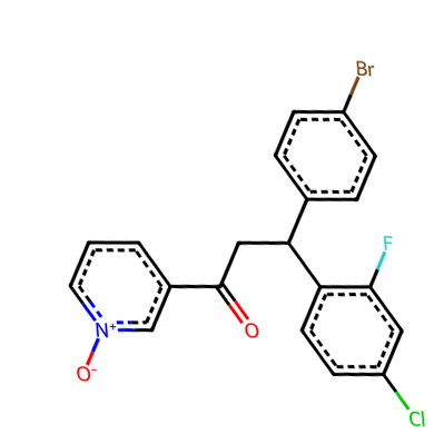 O=C(CC(c1ccc(Br)cc1)c1ccc(Cl)cc1F)c1ccc[n+]([O-])c1